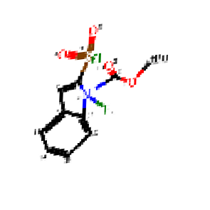 CC(C)(C)OC(=O)[N+]1(F)C(S(=O)(=O)Cl)=Cc2ccccc21